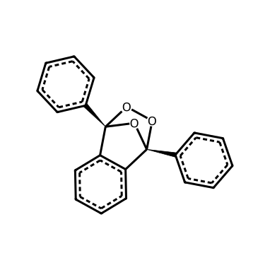 c1ccc([C@]23OO[C@](c4ccccc4)(O2)c2ccccc23)cc1